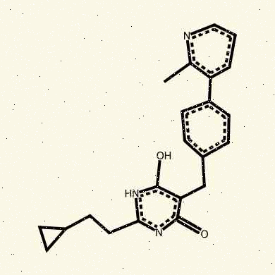 Cc1ncccc1-c1ccc(Cc2c(O)[nH]c(CCC3CC3)nc2=O)cc1